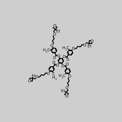 CCC1(COCCCCOc2ccc(C(=O)Oc3cc(OC(=O)c4ccc(OCCCCOCC5(CC)COC5)c(C)c4)c(OC(=O)c4ccc(OCCCCOCC5(CC)COC5)c(C)c4)cc3OC(=O)c3ccc(OCCCCOCC4(CC)COC4)c(C)c3)cc2C)COC1